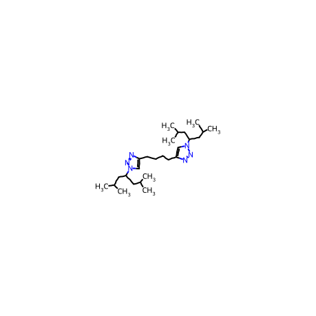 CC(C)CC(CC(C)C)n1cc(CCCCc2cn(C(CC(C)C)CC(C)C)nn2)nn1